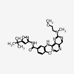 COCCN(C)c1ncc2ncnc(Nc3cc(C(=O)Nc4cc(C(C)(C)C)on4)ccc3Cl)c2n1